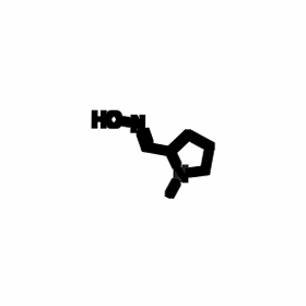 CN1CCCC1/C=N/O